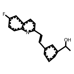 CC(O)c1cccc(C=Cc2ccc3cc(F)ccc3n2)c1